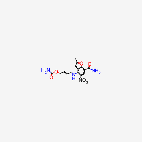 Cc1cc2c(NC/C=C/COC(N)=O)c([N+](=O)[O-])cc(C(N)=O)c2o1